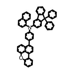 c1ccc(C2(c3ccccc3)c3ccccc3-c3cc(N(c4ccc(-c5ccc6c7c(cccc57)Oc5ccccc5-6)cc4)c4cccc5ccccc45)ccc32)cc1